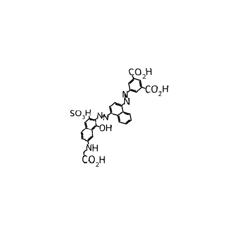 O=C(O)CNc1ccc2cc(S(=O)(=O)O)c(/N=N/c3ccc(/N=N/c4cc(C(=O)O)cc(C(=O)O)c4)c4ccccc34)c(O)c2c1